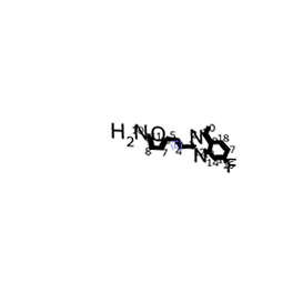 Cc1nc(/C=C/c2ccc(N)o2)nc2cc(F)ccc12